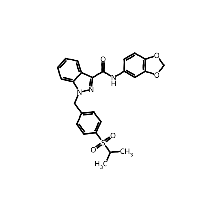 CC(C)S(=O)(=O)c1ccc(Cn2nc(C(=O)Nc3ccc4c(c3)OCO4)c3ccccc32)cc1